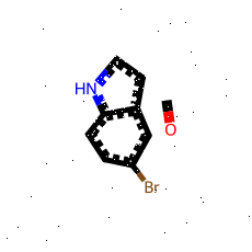 Brc1ccc2[nH]ccc2c1.C=O